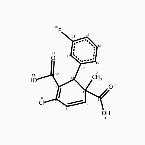 CC1(C(=O)O)C=CC(Cl)=C(C(=O)O)C1c1cccc(F)c1